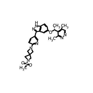 Cc1cnnc(C)c1[C@@H](C)Oc1ccc2[nH]nc(-c3ccc(N4CC5(C4)CN(S(C)(=O)=O)C5)nc3)c2c1